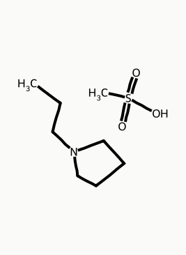 CCCN1CCCC1.CS(=O)(=O)O